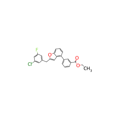 CCOC(=O)c1cccc(-c2cccc3oc(Cc4cc(F)cc(Cl)c4)cc23)c1